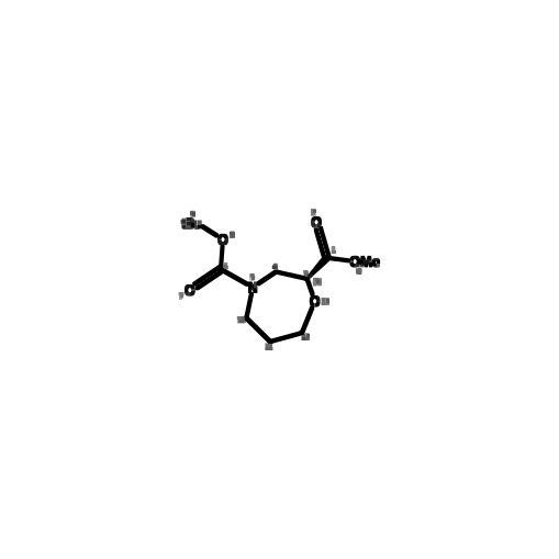 COC(=O)[C@@H]1CN(C(=O)OC(C)(C)C)CCCO1